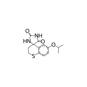 CC(C)Oc1ccc2c(c1)C1(CCS2)NC(=O)NC1=O